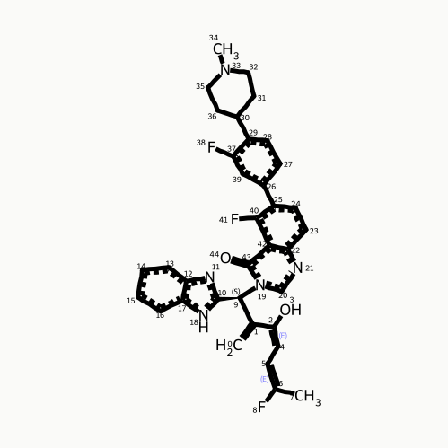 C=C(/C(O)=C\C=C(/C)F)[C@@H](c1nc2ccccc2[nH]1)n1cnc2ccc(-c3ccc(C4CCN(C)CC4)c(F)c3)c(F)c2c1=O